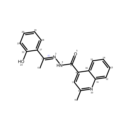 C/C(=N\NC(=O)c1cc(C)nc2ccccc12)c1ccccc1O